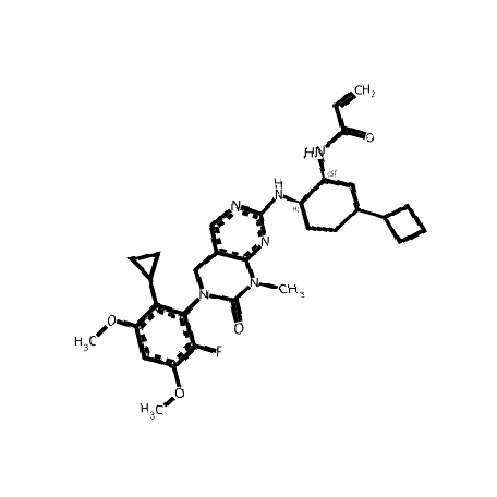 C=CC(=O)N[C@H]1CC(C2CCC2)CC[C@H]1Nc1ncc2c(n1)N(C)C(=O)N(c1c(F)c(OC)cc(OC)c1C1CC1)C2